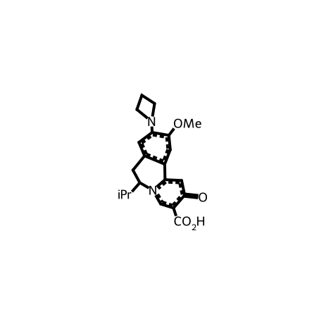 COc1cc2c(cc1N1CCC1)CC(C(C)C)n1cc(C(=O)O)c(=O)cc1-2